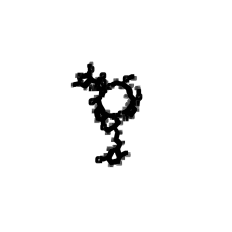 COc1nn(C)cc1C(=O)NS1(=O)=NC(=O)c2ccc3c(c2)N(C[C@@H](CCCc2cc(Cl)ccc2C)CO3)C[C@@H]2CC[C@H]2[C@@H](OC)/C=C/[C@@H](OC)CC1